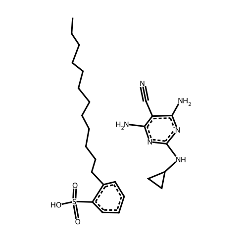 CCCCCCCCCCCCc1ccccc1S(=O)(=O)O.N#Cc1c(N)nc(NC2CC2)nc1N